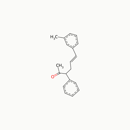 CC(=O)C(CC=Cc1cccc(C)c1)c1ccccc1